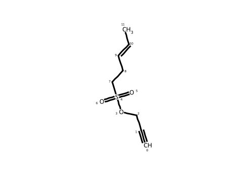 C#CCOS(=O)(=O)CCC=CC